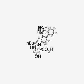 CCCCC1(C)NC(C(C)(C)O)=C(C(=O)O)N1c1ccc(-c2ccccc2-c2nnn[nH]2)cc1